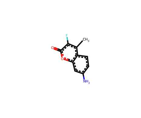 Cc1c(F)c(=O)oc2cc(N)ccc12